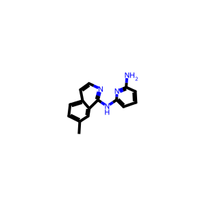 Cc1ccc2ccnc(Nc3cccc(N)n3)c2c1